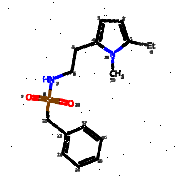 CCc1ccc(CCNS(=O)(=O)Cc2ccccc2)n1C